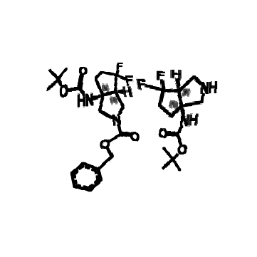 CC(C)(C)OC(=O)N[C@@]12CCC(F)(F)[C@@H]1CN(C(=O)OCc1ccccc1)C2.CC(C)(C)OC(=O)N[C@@]12CCC(F)(F)[C@@H]1CNC2